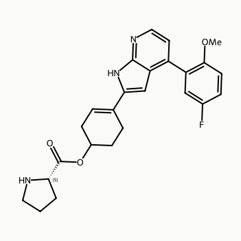 COc1ccc(F)cc1-c1ccnc2[nH]c(C3=CCC(OC(=O)[C@@H]4CCCN4)CC3)cc12